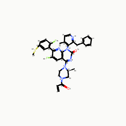 C=CC(=O)N1CCN(c2nc(=O)n(-c3c(C)ccnc3Cc3ccccc3)c3nc(-c4cc(SC)ccc4F)c(F)cc23)[C@@H](C)C1